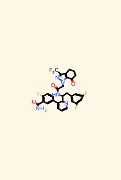 NC(=O)c1cc(-c2cccnc2C(Cc2cc(F)cc(F)c2)NC(=O)Cn2nc(C(F)(F)F)c3c2C(=O)CCC3)ccc1F